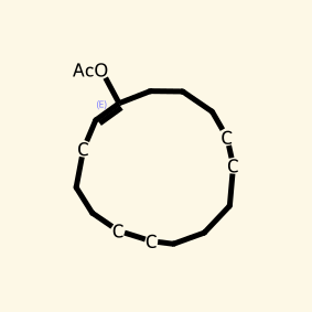 CC(=O)O/C1=C/CCCCCCCCCCCCC1